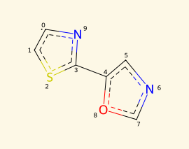 [c]1csc(-c2cnco2)n1